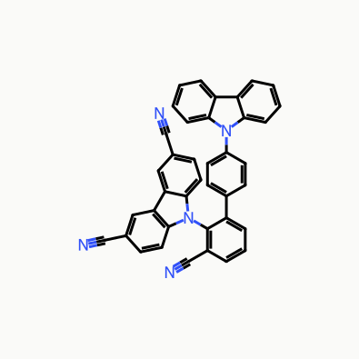 N#Cc1ccc2c(c1)c1cc(C#N)ccc1n2-c1c(C#N)cccc1-c1ccc(-n2c3ccccc3c3ccccc32)cc1